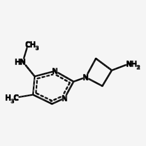 CNc1nc(N2CC(N)C2)ncc1C